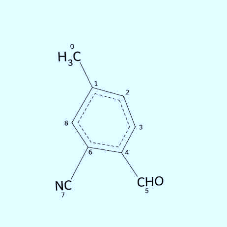 Cc1ccc(C=O)c(C#N)c1